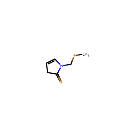 CSCN1C=CCC1=S